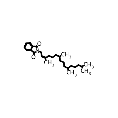 CC(=CCN1C(=O)c2ccccc2C1=O)CCCC(C)CCCC(C)CCCC(C)C